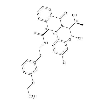 C[C@H](O)C(CO)N1C(=O)c2ccccc2[C@H](C(=O)NCCc2cccc(OCC(=O)O)c2)[C@H]1c1ccc(Cl)cc1Cl